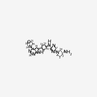 N[C@@H]1CCCN(c2cnc(Nc3ccc(-c4cc5c(N6CCOCC6)ncnc5[nH]4)cc3)cn2)C1